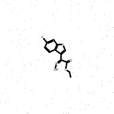 CCOC(=O)C(=NO)c1csc2cc(F)ccc12